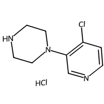 Cl.Clc1ccncc1N1CCNCC1